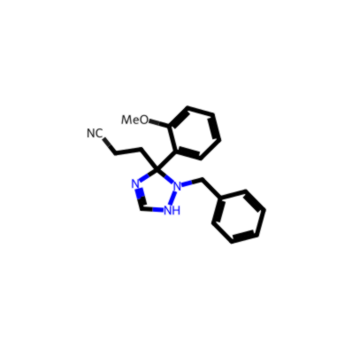 COc1ccccc1C1(CCC#N)N=CNN1Cc1ccccc1